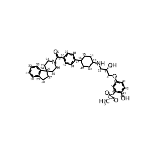 CS(=O)(=O)c1cc(OC[C@H](O)CNC2CCC(c3ccc(C(=O)N4CCC5(CCc6ccccc65)CC4)cc3)CC2)ccc1O